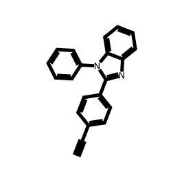 C#Cc1ccc(-c2nc3ccccc3n2-c2ccccc2)cc1